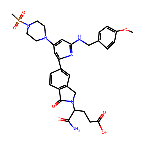 COc1ccc(CNc2cc(N3CCN(S(C)(=O)=O)CC3)cc(-c3ccc4c(c3)CN(C(CCC(=O)O)C(N)=O)C4=O)n2)cc1